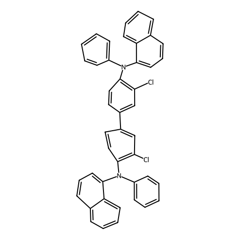 Clc1cc(-c2ccc(N(c3ccccc3)c3cccc4ccccc34)c(Cl)c2)ccc1N(c1ccccc1)c1cccc2ccccc12